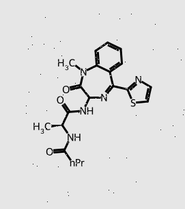 CCCC(=O)N[C@@H](C)C(=O)NC1N=C(c2nccs2)c2ccccc2N(C)C1=O